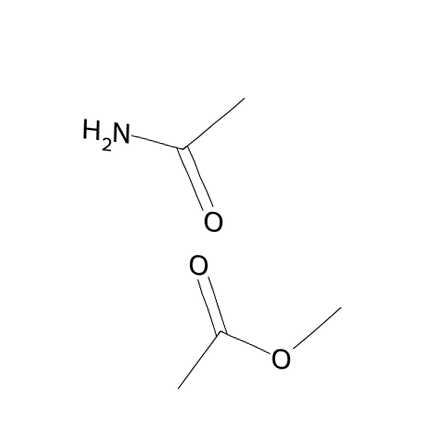 CC(N)=O.COC(C)=O